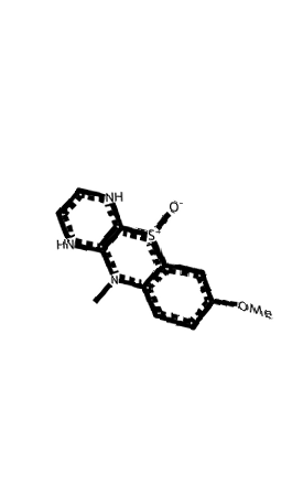 COc1ccc2c(c1)[s+]([O-])c1[nH]cc[nH]c=1n2C